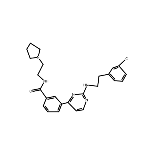 O=C(NCCN1CCCC1)c1cccc(-c2ccnc(NCCc3cccc(Cl)c3)n2)c1